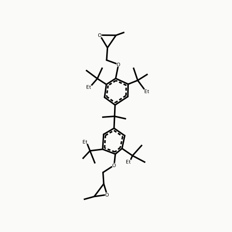 CCC(C)(C)c1cc(C(C)(C)c2cc(C(C)(C)CC)c(OCC3OC3C)c(C(C)(C)CC)c2)cc(C(C)(C)CC)c1OCC1OC1C